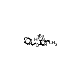 C=Cc1ncc(OCCN2CCOCC2)c(NCCCC)n1